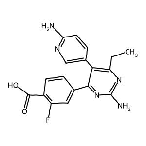 CCc1nc(N)nc(-c2ccc(C(=O)O)c(F)c2)c1-c1ccc(N)nc1